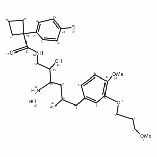 COCCCOc1cc(CC(CC(N)C(O)CNC(=O)C2(c3ccc(Cl)cc3)CCC2)C(C)C)ccc1OC.Cl